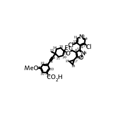 CCC1(OCc2c(-c3c(Cl)cncc3Cl)noc2C2CC2)CCC(C)(C#Cc2cc(OC)cc(C(=O)O)c2)CC1